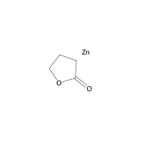 O=C1CCCO1.[Zn]